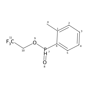 Cc1ccccc1[PH](=O)OCC(F)(F)F